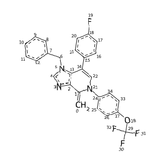 C=C1c2ncn(Cc3ccccc3)c2C(c2ccc(F)cc2)=CN1c1ccc(OC(F)(F)F)cc1